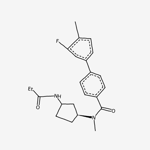 CCC(=O)NC1CC[C@H](N(C)C(=O)c2ccc(-c3ccc(C)c(F)c3)cc2)C1